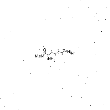 CNC(=O)[C@@H](N)CCCCN=[N+]=[N-]